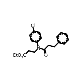 CCOC(=O)CCN(C(=O)CCc1ccccc1)c1ccc(Cl)cc1